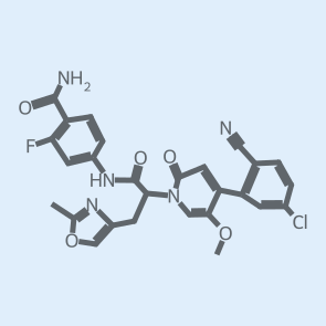 COc1cn(C(Cc2coc(C)n2)C(=O)Nc2ccc(C(N)=O)c(F)c2)c(=O)cc1-c1cc(Cl)ccc1C#N